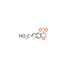 CS(=O)(=O)[C@H]1CCOc2cc3sc(C(=O)O)cc3cc21